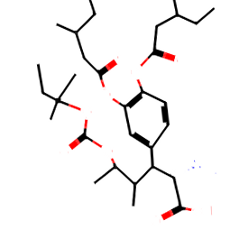 CCC(C)CC(=O)Oc1ccc(C(C(C)C(C)OC(=O)OC(C)(C)CC)[C@H](N)C(=O)O)cc1OC(=O)CC(C)CC